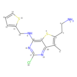 Cc1c(CCN)sc2c(NCc3cccs3)nc(Cl)nc12